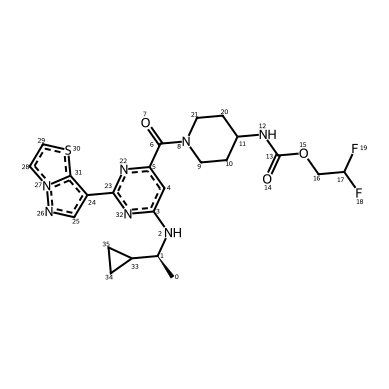 C[C@H](Nc1cc(C(=O)N2CCC(NC(=O)OCC(F)F)CC2)nc(-c2cnn3ccsc23)n1)C1CC1